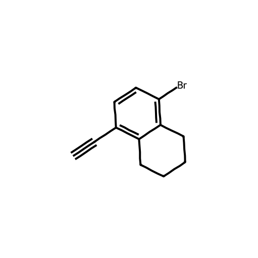 C#Cc1ccc(Br)c2c1CCCC2